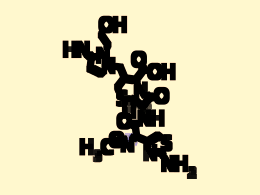 CO/N=C(\C(=O)N[C@@H]1C(=O)N2C(C(=O)O)=C(Cn3ccc(=N)n3CCO)CS[C@H]12)c1csc(N)n1